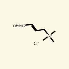 CCCCCC=CC[N+](C)(C)C.[Cl-]